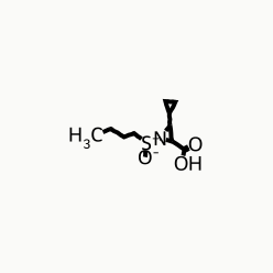 CCCC[S+]([O-])N1C(C(=O)O)C1C1CC1